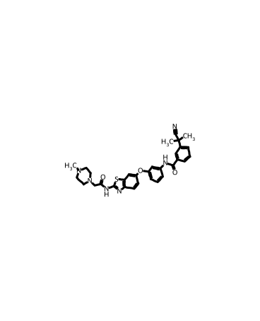 CN1CCN(CC(=O)Nc2nc3ccc(Oc4cccc(NC(=O)c5cccc(C(C)(C)C#N)c5)c4)cc3s2)CC1